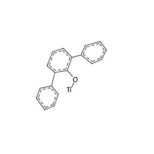 [Ti][O]c1c(-c2ccccc2)cccc1-c1ccccc1